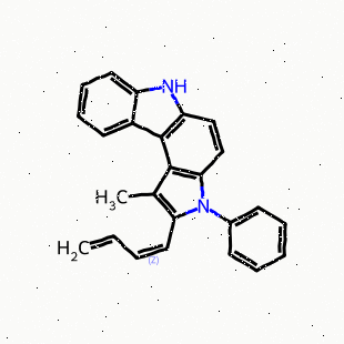 C=C/C=C\c1c(C)c2c3c(ccc2n1-c1ccccc1)[nH]c1ccccc13